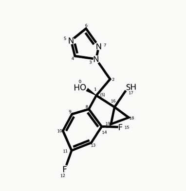 O[C@](Cn1cncn1)(c1ccc(F)cc1F)C1(S)CC1